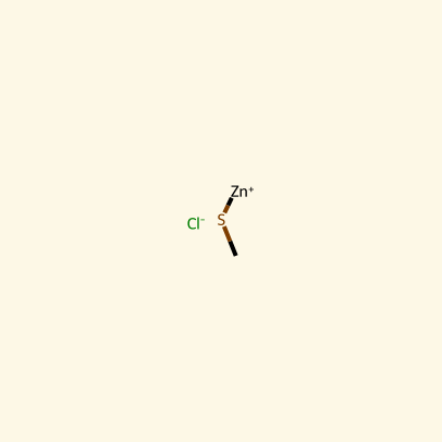 C[S][Zn+].[Cl-]